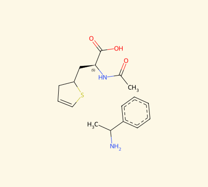 CC(=O)N[C@@H](CC1CC=CS1)C(=O)O.CC(N)c1ccccc1